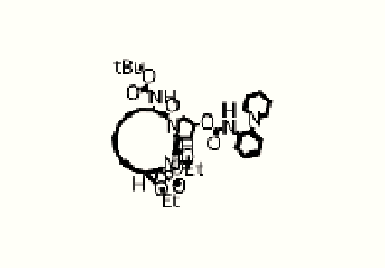 CCOP(=O)(OCC)[C@@]12C[C@H]1/C=C\CCCCC[C@H](NC(=O)OC(C)(C)C)C(=O)N1C[C@H](OC(=O)Nc3ccccc3N3CCCCC3)C[C@H]1C(=O)N2